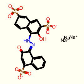 O=C1C=C(S(=O)(=O)[O-])c2ccccc2/C1=N/Nc1c(O)c(S(=O)(=O)[O-])cc2cc(S(=O)(=O)[O-])ccc12.[Na+].[Na+].[Na+]